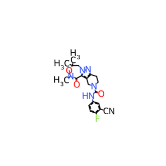 CN1OC(C)(C)Cn2nc3c(c2C1=O)CN(C(=O)Nc1ccc(F)c(C#N)c1)CC3